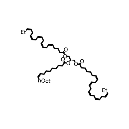 CC/C=C\C/C=C\C/C=C\C/C=C\C/C=C\CCCCCC(=O)OC[C@H](COC(=O)CCC/C=C\C/C=C\C/C=C\C/C=C\C/C=C\CC)OC(=O)CCCCCCC/C=C\CCCCCCCC